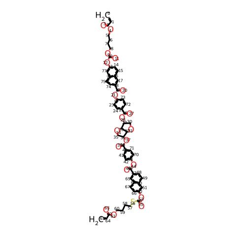 C=CC(=O)OCCCCOC(=O)Oc1ccc2cc(C(=O)Oc3ccc(C(=O)O[C@@H]4COC5C4OC[C@H]5OC(=O)c4ccc(OC(=O)c5ccc6cc(OC(=O)SCCCCOC(=O)C=C)ccc6c5)cc4)cc3)ccc2c1